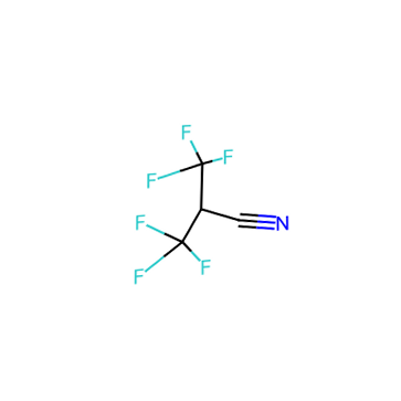 N#CC(C(F)(F)F)C(F)(F)F